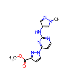 COC(=O)c1ccn(-c2ccnc(Nc3cnn(C)c3)n2)n1